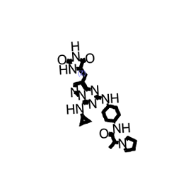 CC(C(=O)N[C@H]1CC[C@H](Nc2nc(NC3CC3)n3ncc(/C=C4\NC(=O)NC4=O)c3n2)CC1)N1CCCC1